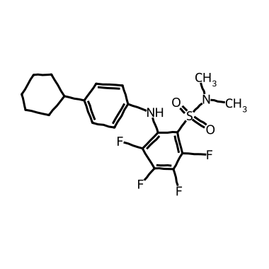 CN(C)S(=O)(=O)c1c(F)c(F)c(F)c(F)c1Nc1ccc(C2CCCCC2)cc1